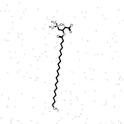 CCCCCCCCCCCCCCCCCCCCCC(=O)OC(CC(=O)[O-])C[N+](C)(C)C